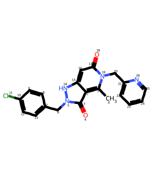 Cc1c2c(=O)n(Cc3ccc(Cl)cc3)[nH]c2cc(=O)n1Cc1ccccn1